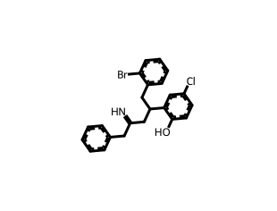 N=C(Cc1ccccc1)CC(Cc1ccccc1Br)c1cc(Cl)ccc1O